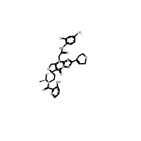 C[C@H]1C[C@]2(CCN1C(=O)c1ncccc1O)OCc1c2c(=O)n2nc(C3=CCOCC3)nc2n1CC(=O)Nc1ccc(C(F)(F)F)cc1Cl